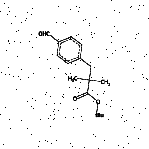 CC(C)(C)OC(=O)C(C)(C)Cc1ccc(C=O)cc1